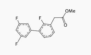 COC(=O)Cc1cccc(-c2cc(F)cc(F)c2)c1F